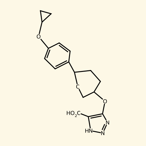 O=C(O)c1[nH]nnc1OC1CCC(c2ccc(OC3CC3)cc2)CC1